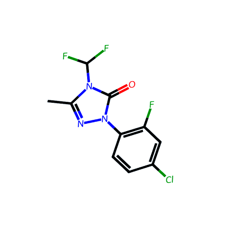 Cc1nn(-c2ccc(Cl)cc2F)c(=O)n1C(F)F